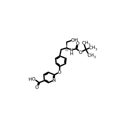 CC(C)(C)OC(=O)N[C@H](CO)Cc1ccc(Oc2ccc(C(=O)O)cn2)cc1